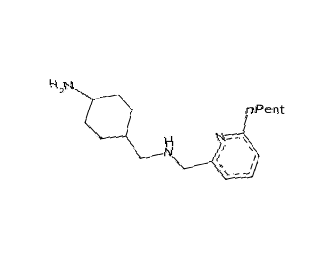 CCCCCc1cccc(CNCC2CCC(N)CC2)n1